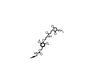 CC#CCNC(=O)OCc1cc(OC)c(OCCNC(=O)CCN2C(=O)CC(P)C2=O)c(OC)c1